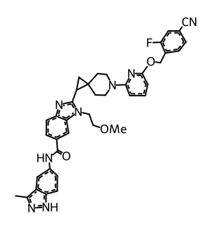 COCCn1c(C2CC23CCN(c2cccc(OCc4ccc(C#N)cc4F)n2)CC3)nc2ccc(C(=O)Nc3ccc4[nH]nc(C)c4c3)cc21